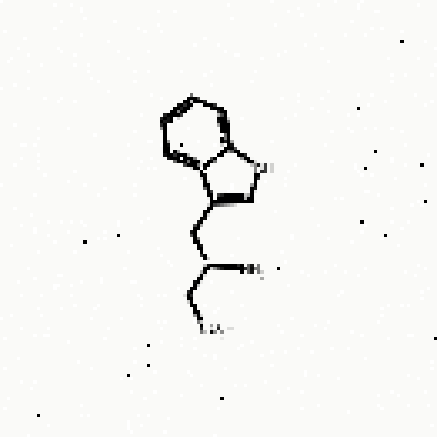 NC(CC(=O)O)Cc1c[nH]c2ccccc12